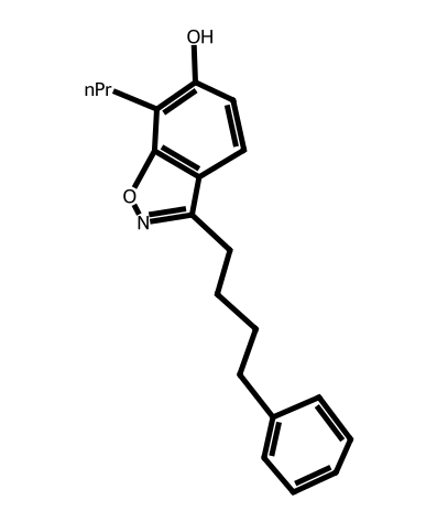 CCCc1c(O)ccc2c(CCCCc3ccccc3)noc12